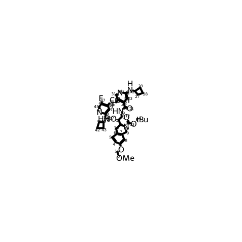 COCOc1ccc2c(c1)CN(C(=O)OC(C)(C)C)C([C@H](O)CNC(=O)c1cc(NC3CCC3)ncc1F)C2.O=C(O)c1cc(NC2CCC2)ncc1F